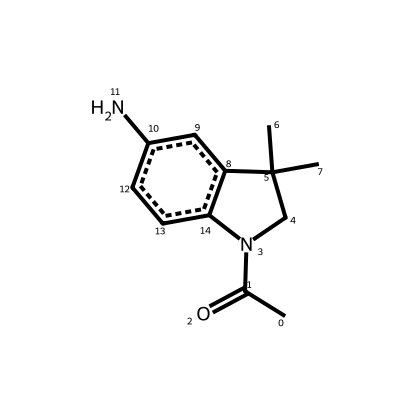 CC(=O)N1CC(C)(C)c2cc(N)ccc21